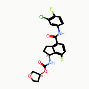 O=C(N[C@H]1CCc2c(C(=O)Nc3ccc(F)c(Cl)c3)ccc(F)c21)O[C@H]1CCOC1